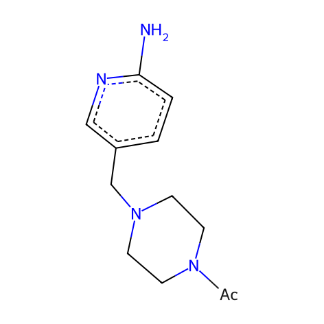 CC(=O)N1CCN(Cc2ccc(N)nc2)CC1